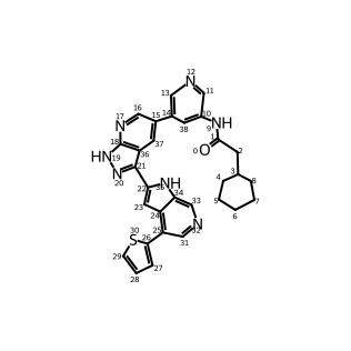 O=C(CC1CCCCC1)Nc1cncc(-c2cnc3[nH]nc(-c4cc5c(-c6cccs6)cncc5[nH]4)c3c2)c1